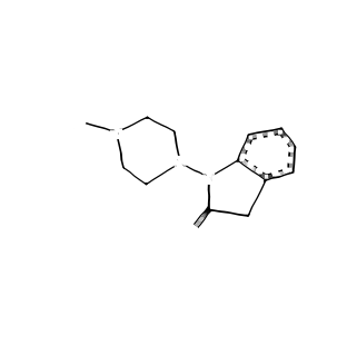 CN1CCN(N2C(=O)Cc3ccccc32)CC1